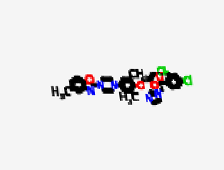 Cc1ccc2oc(N3CCN(c4cc(C)c(OC[C@@H]5CO[C@@](Cn6ccnc6)(c6ccc(Cl)cc6Cl)O5)c(C)c4)CC3)nc2c1